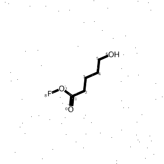 O=C(CCCCO)OF